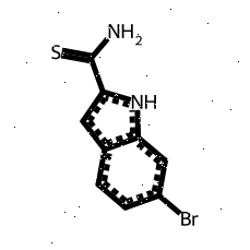 NC(=S)c1cc2ccc(Br)cc2[nH]1